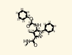 CNC(=O)c1nn(-c2ccccc2)c(NC(=O)Oc2ccccc2)c1C